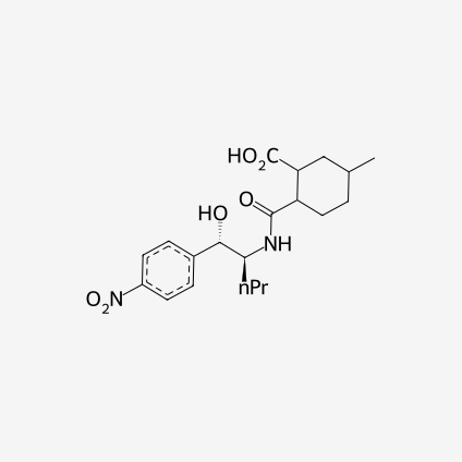 CCC[C@H](NC(=O)C1CCC(C)CC1C(=O)O)[C@@H](O)c1ccc([N+](=O)[O-])cc1